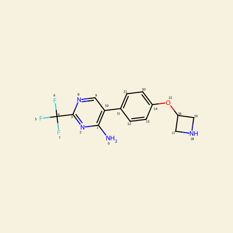 Nc1nc(C(F)(F)F)ncc1-c1ccc(OC2CNC2)cc1